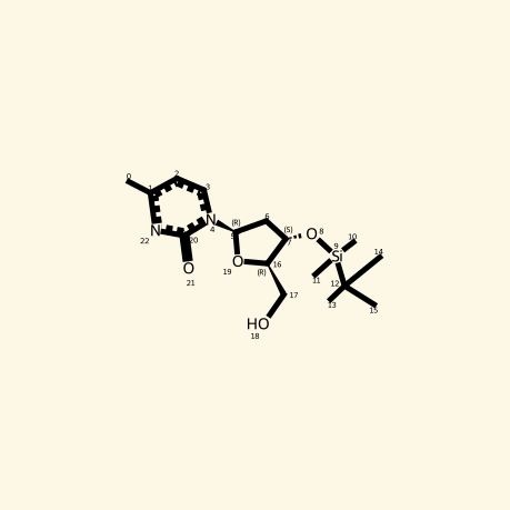 Cc1ccn([C@H]2C[C@H](O[Si](C)(C)C(C)(C)C)[C@@H](CO)O2)c(=O)n1